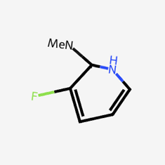 CN[C]1NC=CC=C1F